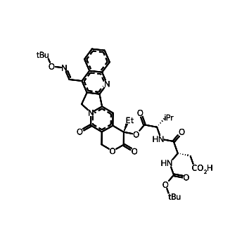 CC[C@@]1(OC(=O)[C@@H](NC(=O)[C@H](CC(=O)O)NC(=O)OC(C)(C)C)C(C)C)C(=O)OCc2c1cc1n(c2=O)Cc2c-1nc1ccccc1c2/C=N/OC(C)(C)C